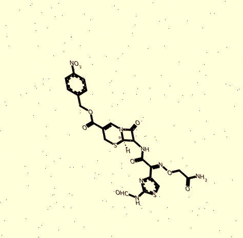 NC(=O)CON=C(C(=O)NC1C(=O)N2C=C(C(=O)OCc3ccc([N+](=O)[O-])cc3)CS[C@H]12)c1csc(NC=O)n1